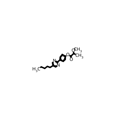 CCCCCc1cnc(-c2ccc(OC(=O)C(C)OC)cc2)nc1